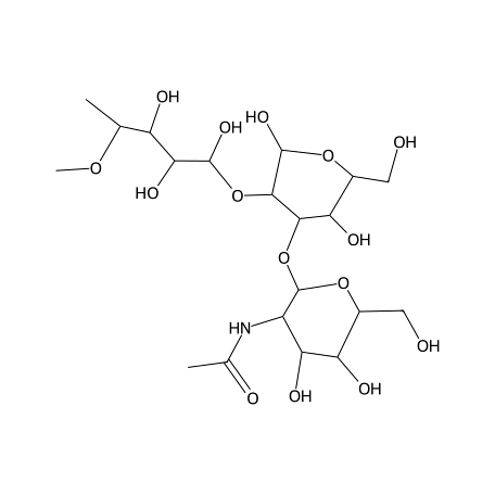 COC(C)C(O)C(O)C(O)OC1C(O)OC(CO)C(O)C1OC1OC(CO)C(O)C(O)C1NC(C)=O